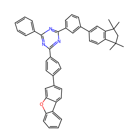 CC1(C)CC(C)(C)c2cc(-c3cccc(-c4nc(-c5ccccc5)nc(-c5ccc(-c6ccc7c(c6)oc6ccccc67)cc5)n4)c3)ccc21